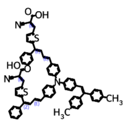 Cc1ccc(C(=Cc2ccc(N(c3ccc(/C=C/C=C(/c4ccccc4)c4ccc(/C=C(\C#N)C(=O)O)s4)cc3)c3ccc(/C=C/C=C(\c4ccccc4)c4ccc(/C=C(\C#N)C(=O)O)s4)cc3)cc2)c2ccc(C)cc2)cc1